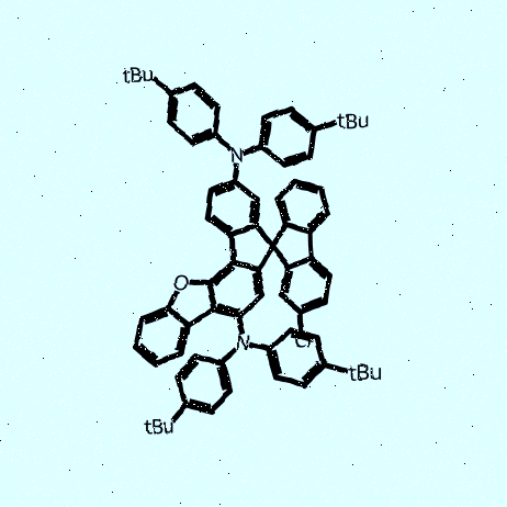 CC(C)(C)c1ccc(N(c2ccc(C(C)(C)C)cc2)c2ccc3c(c2)C2(c4ccccc4-c4ccc(Cl)cc42)c2cc(N(c4ccc(C(C)(C)C)cc4)c4ccc(C(C)(C)C)cc4)c4c(oc5ccccc54)c2-3)cc1